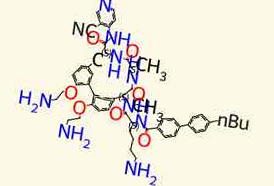 CCCCc1ccc(-c2ccc(C(=O)N[C@@H](CCCCN)C(=O)N(C)[C@@H]3C(=O)N[C@@H](C)C(=O)N[C@H](C(=O)Nc4ccncc4C#N)Cc4ccc(OCCN)c(c4)-c4cc3ccc4OCCN)cc2)cc1